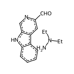 CCN(N)CC.O=Cc1cc2c(cn1)[nH]c1ccccc12